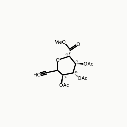 C#CC1O[C@H](C(=O)OC)[C@@H](OC(C)=O)[C@H](OC(C)=O)[C@H]1OC(C)=O